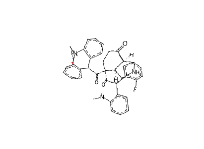 CN(C)c1ccccc1C(C(=O)C1(C(=O)C(c2ccccc2F)c2ccccc2N(C)C)CCC(=O)[C@H]2CNC[C@H]21)c1ccccc1F